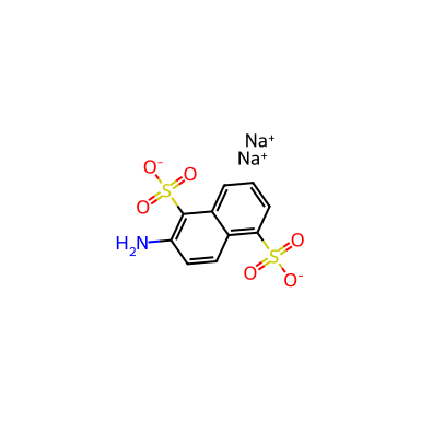 Nc1ccc2c(S(=O)(=O)[O-])cccc2c1S(=O)(=O)[O-].[Na+].[Na+]